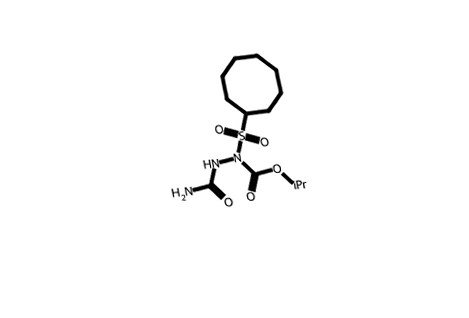 CC(C)OC(=O)N(NC(N)=O)S(=O)(=O)C1CCCCCCC1